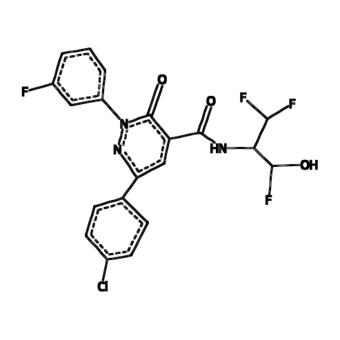 O=C(NC(C(O)F)C(F)F)c1cc(-c2ccc(Cl)cc2)nn(-c2cccc(F)c2)c1=O